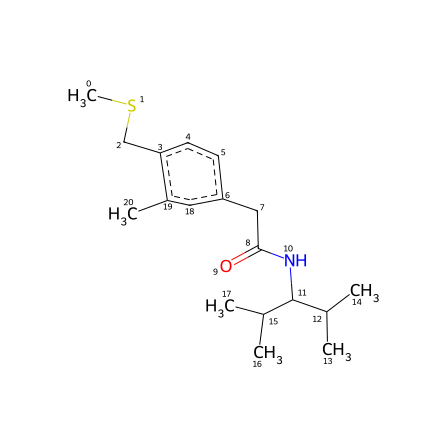 CSCc1ccc(CC(=O)NC(C(C)C)C(C)C)cc1C